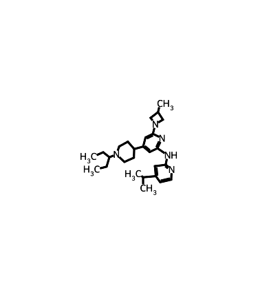 CCC(CC)N1CCC(c2cc(Nc3cc(C(C)C)ccn3)nc(N3CC(C)C3)c2)CC1